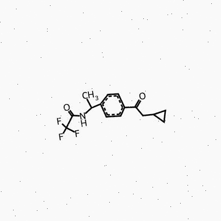 CC(NC(=O)C(F)(F)F)c1ccc(C(=O)CC2CC2)cc1